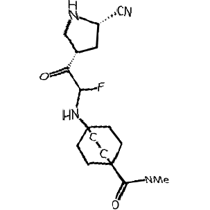 CNC(=O)C12CCC(NC(F)C(=O)[C@@H]3CN[C@H](C#N)C3)(CC1)CC2